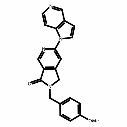 COc1ccc(CN2Cc3cc(-n4ccc5cnccc54)ncc3C2=O)cc1